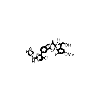 COc1cc(F)cc(C(CO)NC(=O)C(C)N2Cc3ccc(-c4nc(NN5C=NN(C)C5)ncc4Cl)cc3C2=O)c1